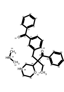 CCC(Cc1cccc(C(=O)c2ccccc2)c1)(C(=O)c1ccccc1)C1CNCCO1.CNC